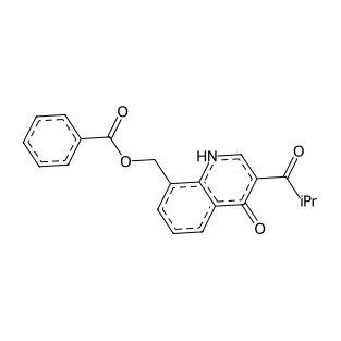 CC(C)C(=O)c1c[nH]c2c(COC(=O)c3ccccc3)cccc2c1=O